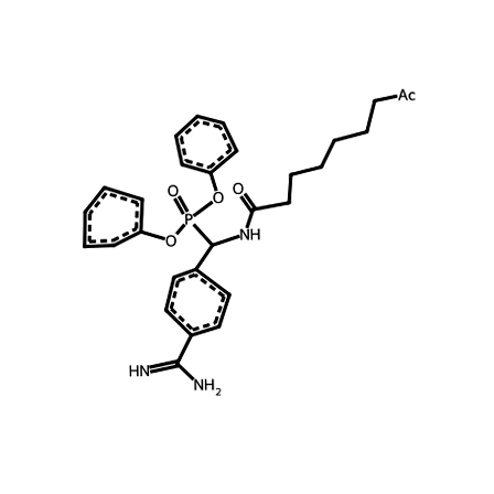 CC(=O)CCCCCCC(=O)NC(c1ccc(C(=N)N)cc1)P(=O)(Oc1ccccc1)Oc1ccccc1